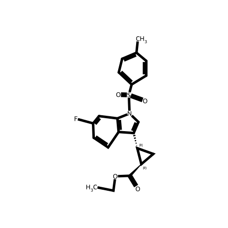 CCOC(=O)[C@@H]1C[C@H]1c1cn(S(=O)(=O)c2ccc(C)cc2)c2cc(F)ccc12